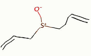 C=CC[S+]([O-])CC=C